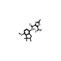 CSc1ccc(NC(=O)c2sc(C)nc2C(F)F)c2c1C(C)(C)C(C)C2